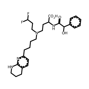 O=C(O)C(CCN(CCCCc1ccc2c(n1)NCCC2)CCC(F)F)NC(=O)C(O)c1ccccc1